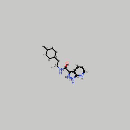 CC1CCC(C[C@@H](C)NC(=O)c2n[nH]c3ncccc23)CC1